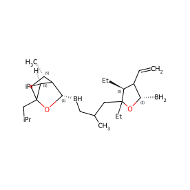 B[C@@H]1OC(CC)(CC(C)CB[C@@H]2OC3(CC(C)C)C[C@H](C)C2[C@@H]3C(C)C)[C@@H](CC)C1C=C